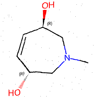 CN1C[C@H](O)C=C[C@@H](O)C1